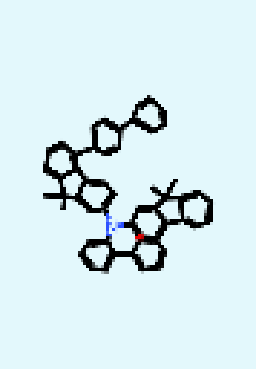 CC1(C)c2ccccc2-c2ccc(N(c3ccc4c(c3)C(C)(C)c3cccc(-c5ccc(-c6ccccc6)cc5)c3-4)c3ccccc3-c3ccccc3)cc21